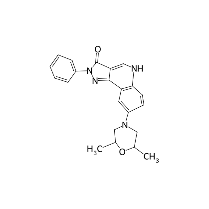 CC1CN(c2ccc3[nH]cc4c(=O)n(-c5ccccc5)nc-4c3c2)CC(C)O1